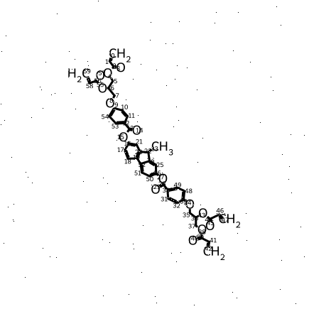 C=CC(=O)OCC(COc1ccc(C(=O)Oc2ccc3c(c2)C(C)c2cc(OC(=O)c4ccc(OCC(COC(=O)C=C)OC(=O)C=C)cc4)ccc2-3)cc1)OC(=O)C=C